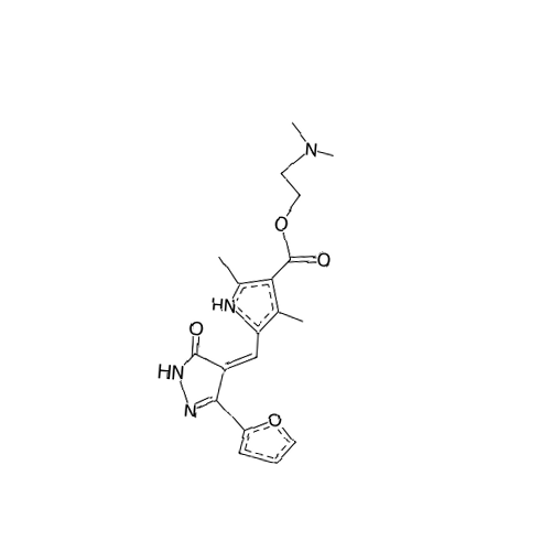 Cc1[nH]c(C=C2C(=O)NN=C2c2ccco2)c(C)c1C(=O)OCCN(C)C